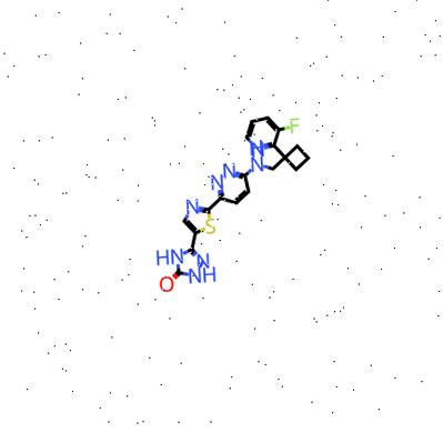 O=c1[nH]nc(-c2cnc(-c3ccc(NCC4(c5ncccc5F)CCC4)nn3)s2)[nH]1